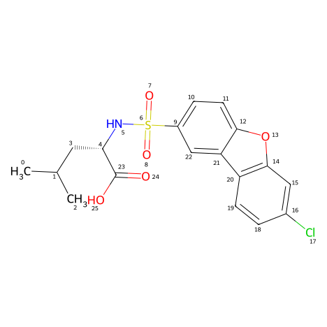 CC(C)C[C@H](NS(=O)(=O)c1ccc2oc3cc(Cl)ccc3c2c1)C(=O)O